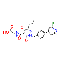 CCCc1nn(Cc2ccc(-c3cc(F)nc(F)c3)cc2)c(=O)c(C(=O)NCC(=O)O)c1O